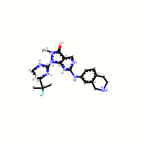 CC(C)n1c(=O)c2cnc(Nc3ccc4c(c3)CNCC4)nc2n1-c1nccc(C(C)(C)F)n1